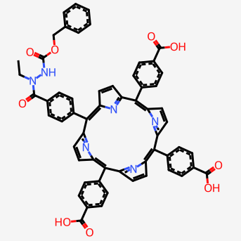 CCN(NC(=O)OCc1ccccc1)C(=O)c1ccc(C2=C3C=CC(=N3)C(c3ccc(C(=O)O)cc3)=C3C=CC(=N3)C(c3ccc(C(=O)O)cc3)=C3C=CC(=N3)C(c3ccc(C(=O)O)cc3)=C3C=CC2=N3)cc1